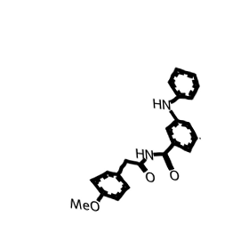 COc1ccc(CC(=O)NC(=O)c2c[c]cc(Nc3ccccc3)c2)cc1